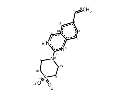 C=Cc1ccc2nc(N3CCS(=O)(=O)CC3)ncc2c1